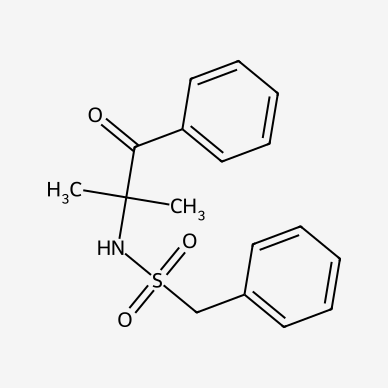 CC(C)(NS(=O)(=O)Cc1ccccc1)C(=O)c1ccccc1